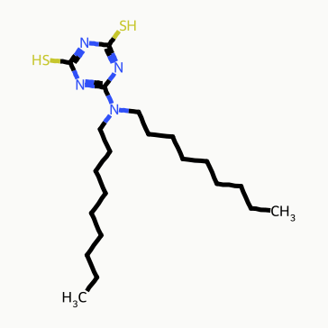 CCCCCCCCCN(CCCCCCCCC)c1nc(S)nc(S)n1